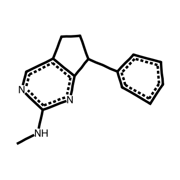 CNc1ncc2c(n1)C(c1ccccc1)CC2